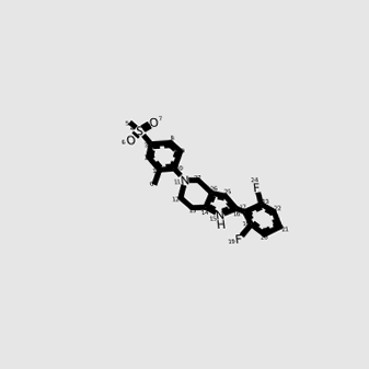 Cc1cc(S(C)(=O)=O)ccc1N1CCc2[nH]c(-c3c(F)cccc3F)cc2C1